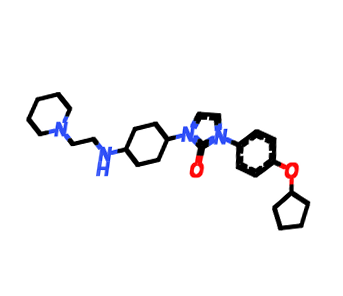 O=c1n(-c2ccc(OC3CCCC3)cc2)ccn1C1CCC(NCCN2CCCCC2)CC1